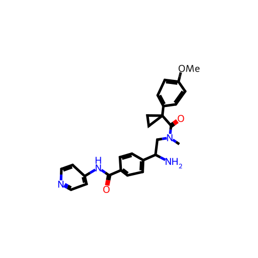 COc1ccc(C2(C(=O)N(C)CC(N)c3ccc(C(=O)Nc4ccncc4)cc3)CC2)cc1